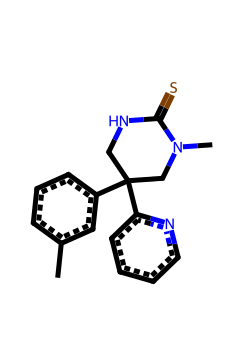 Cc1cccc(C2(c3ccccn3)CNC(=S)N(C)C2)c1